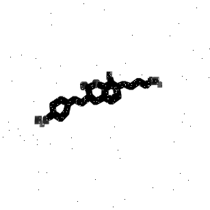 CCCCCc1ccc2c(c1F)OC(=O)C(CCC1CCC(C)CC1)C2